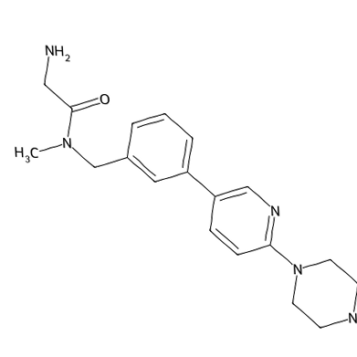 CN(Cc1cccc(-c2ccc(N3CCNCC3)nc2)c1)C(=O)CN